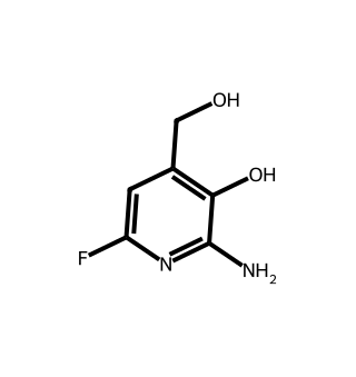 Nc1nc(F)cc(CO)c1O